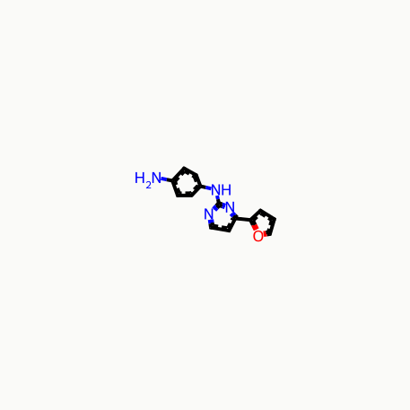 Nc1ccc(Nc2nccc(-c3ccco3)n2)cc1